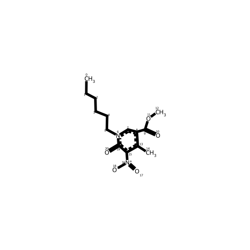 CCCCCCn1cc(C(=O)OC)c(C)c([N+](=O)[O-])c1=O